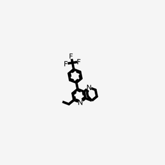 CCc1cc(-c2ccc(C(F)(F)F)cc2)c2c(n1)C1CCN2CC1